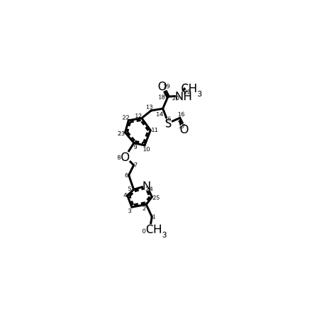 CCc1ccc(CCOc2ccc(CC(SC=O)C(=O)NC)cc2)nc1